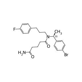 C[C@@H](c1ccc(Br)cc1)N(CCCc1ccc(F)cc1)C(=O)CCCC(N)=O